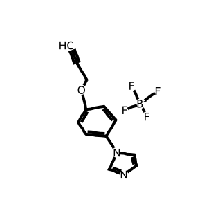 C#CCOc1ccc(-n2ccnc2)cc1.F[B-](F)(F)F